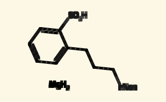 CCCCCCCCCCCCc1ccccc1S(=O)(=O)O.[MgH2]